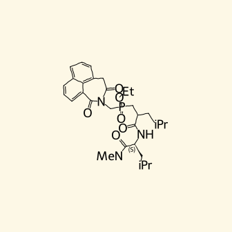 CCOP(=O)(CC(CC(C)C)C(=O)N[C@@H](CC(C)C)C(=O)NC)CN1C(=O)Cc2cccc3cccc(c23)C1=O